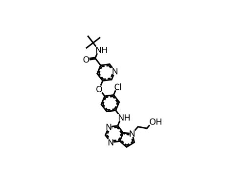 CC(C)(C)NC(=O)c1cncc(Oc2ccc(Nc3ncnc4ccn(CCO)c34)cc2Cl)c1